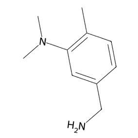 Cc1ccc(CN)cc1N(C)C